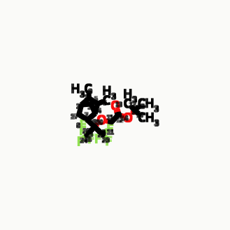 CC1C2CC(C1C)C(F)(C(OCC(=O)OC(C)(C)C)(C(F)(F)F)C(F)(F)F)C2